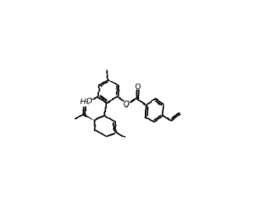 C=Cc1ccc(C(=O)Oc2cc(C)cc(O)c2C2C=C(C)CC[C@H]2C(=C)C)cc1